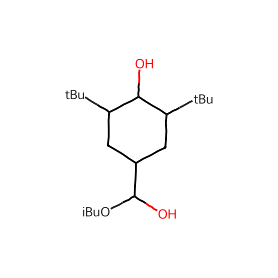 CC(C)COC(O)C1CC(C(C)(C)C)C(O)C(C(C)(C)C)C1